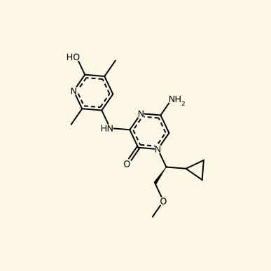 COC[C@H](C1CC1)n1cc(N)nc(Nc2cc(C)c(O)nc2C)c1=O